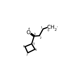 [CH2]CCC(=O)C1CCC1